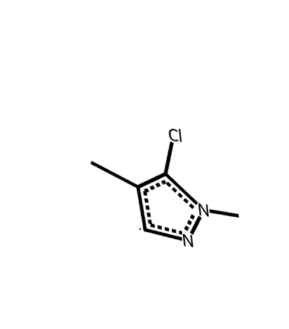 Cc1[c]nn(C)c1Cl